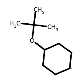 CC(C)(C)OC1CC[CH]CC1